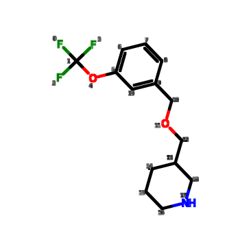 FC(F)(F)Oc1cccc(COCC2[CH]CCNC2)c1